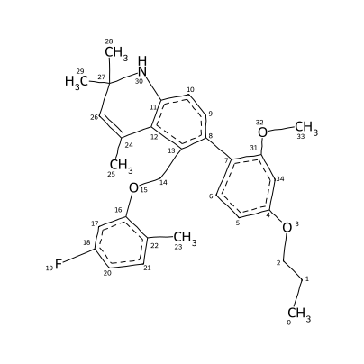 CCCOc1ccc(-c2ccc3c(c2COc2cc(F)ccc2C)C(C)=CC(C)(C)N3)c(OC)c1